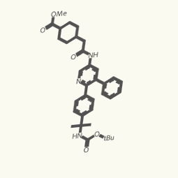 COC(=O)C1CCC(CC(=O)Nc2cnc(-c3ccc(C(C)(C)NC(=O)OC(C)(C)C)cc3)c(-c3ccccc3)c2)CC1